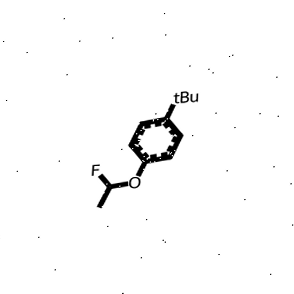 CC(F)Oc1ccc(C(C)(C)C)cc1